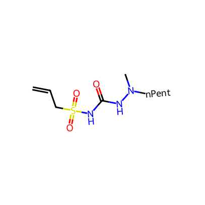 C=CCS(=O)(=O)NC(=O)NN(C)CCCCC